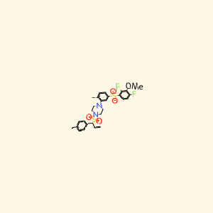 C=CC(c1ccc(C)cc1)S(=O)(=O)N1CCN(c2cc(S(=O)(=O)c3ccc(F)c(OC)c3F)ccc2C)CC1